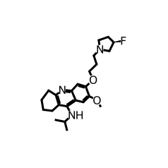 COc1cc2c(NC(C)C)c3c(nc2cc1OCCCN1CC[C@@H](F)C1)CCCC3